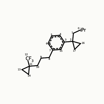 CC(C)CC1(c2cccc(CCCC3(C(F)(F)F)CC3)c2)CC1